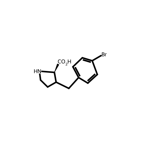 O=C(O)[C@@H]1NCCC1Cc1ccc(Br)cc1